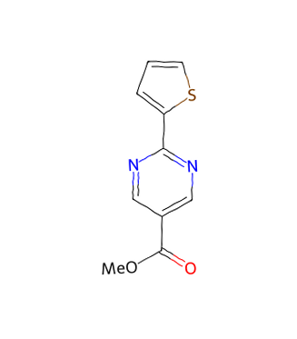 COC(=O)c1cnc(-c2cccs2)nc1